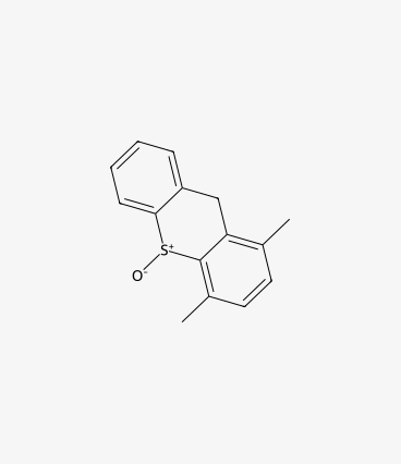 Cc1ccc(C)c2c1Cc1ccccc1[S+]2[O-]